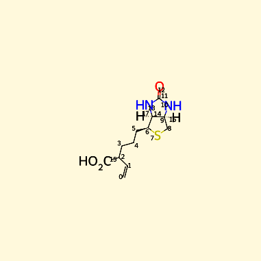 C=CC(CCC[C@@H]1SC[C@@H]2NC(=O)N[C@@H]21)C(=O)O